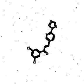 O=C(/C=C/c1ccc(-n2cncn2)cc1)c1cc(Cl)cc(Cl)c1